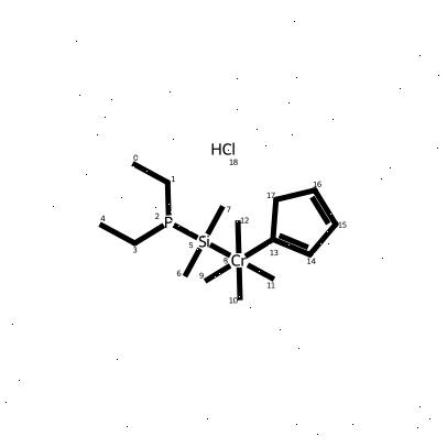 CCP(CC)[Si](C)(C)[Cr]([CH3])([CH3])([CH3])([CH3])[C]1=CC=CC1.Cl